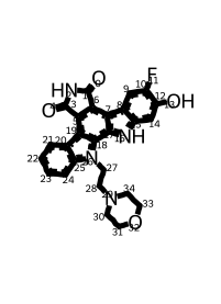 O=C1NC(=O)c2c1c1c3cc(F)c(O)cc3[nH]c1c1c2c2ccccc2n1CCN1CCOCC1